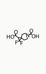 O=C(O)C1C(F)(F)C12CCN(C(=O)O)CC2